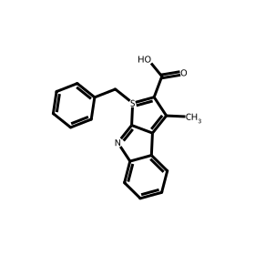 CC1=C2C(=Nc3ccccc32)S(Cc2ccccc2)=C1C(=O)O